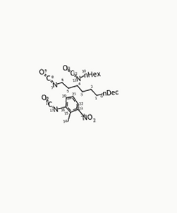 CCCCCCCCCCCCCCCCN=C=O.CCCCCCN=C=O.Cc1c(N=C=O)cccc1[N+](=O)[O-]